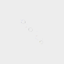 CC(C)(NC(=O)CC(N)c1ccc(C(=O)Nc2ccncc2)cc1)c1cccs1